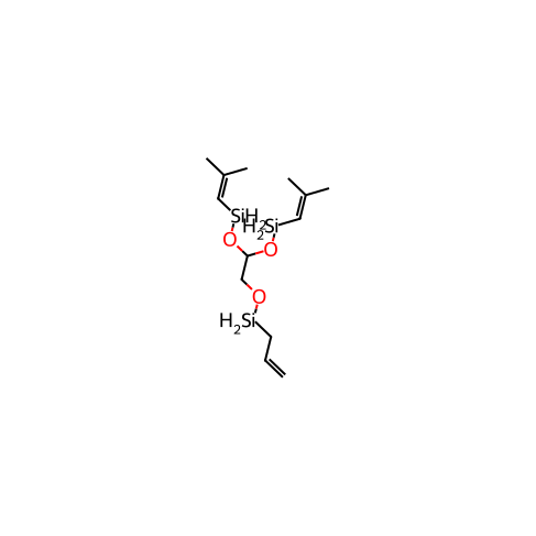 C=CC[SiH2]OCC(O[SiH2]C=C(C)C)O[SiH2]C=C(C)C